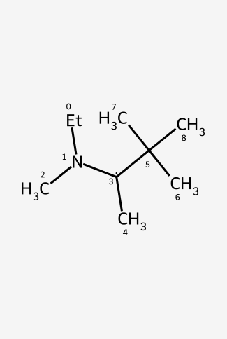 CCN(C)[C](C)C(C)(C)C